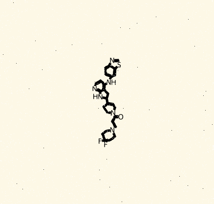 O=C(CCN1CCC(F)(F)CC1)N1CC=C(C2Cc3c(Nc4ccc5ncsc5c4)ccnc3N2)CC1